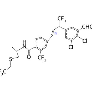 CC(CSCC(F)(F)F)NC(=O)c1ccc(/C=C/C(c2cc(Cl)c(Cl)c(C=O)c2)C(F)(F)F)cc1C(F)(F)F